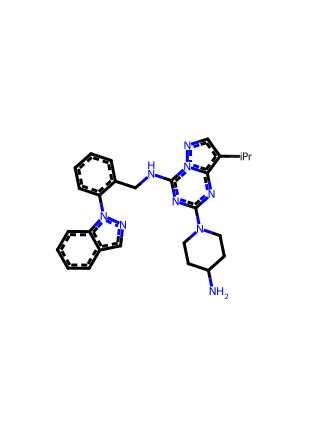 CC(C)c1cnn2c(NCc3ccccc3-n3ncc4ccccc43)nc(N3CCC(N)CC3)nc12